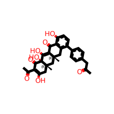 CC(=O)Cc1ccc(-c2ccc(O)c3c2C[C@]2(C)C[C@]4(C)CC(O)=C(C(C)=O)C(=O)[C@]4(O)C(O)=C2C3=O)cc1